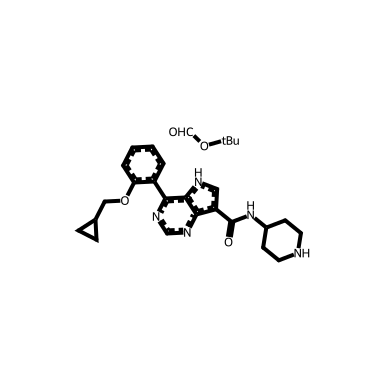 CC(C)(C)OC=O.O=C(NC1CCNCC1)c1c[nH]c2c(-c3ccccc3OCC3CC3)ncnc12